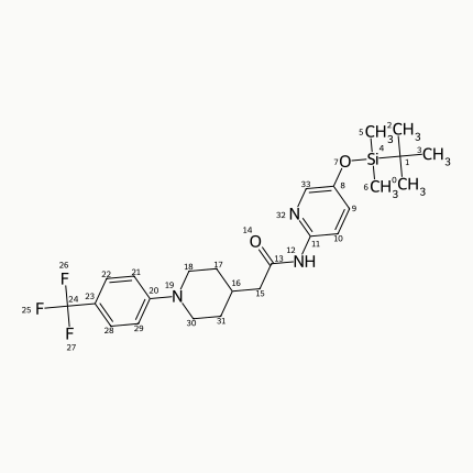 CC(C)(C)[Si](C)(C)Oc1ccc(NC(=O)CC2CCN(c3ccc(C(F)(F)F)cc3)CC2)nc1